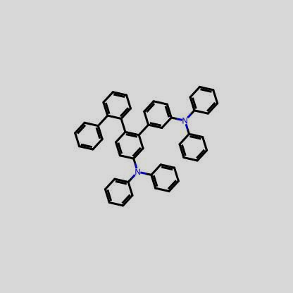 c1ccc(-c2ccccc2-c2ccc(N(c3ccccc3)c3ccccc3)cc2-c2cccc(N(c3ccccc3)c3ccccc3)c2)cc1